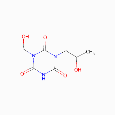 CC(O)Cn1c(=O)[nH]c(=O)n(CO)c1=O